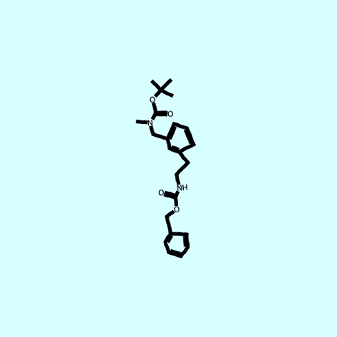 CN(Cc1cccc(CCNC(=O)OCc2ccccc2)c1)C(=O)OC(C)(C)C